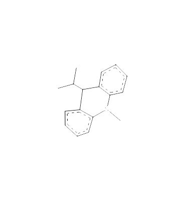 CC(C)C1c2ccccc2N(C)c2ccccc21